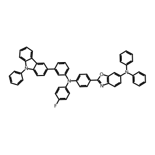 Fc1ccc(N(c2ccc(-c3nc4ccc(N(c5ccccc5)c5ccccc5)cc4o3)cc2)c2cccc(-c3ccc4c(c3)c3ccccc3n4-c3ccccc3)c2)cc1